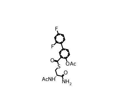 CC(=O)N[C@H](CSC(=O)c1cc(-c2ccc(F)cc2F)ccc1OC(C)=O)C(N)=O